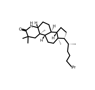 CC(C)CCC[C@@H](C)[C@H]1CC[C@H]2[C@@H]3CC[C@H]4NC(=O)C(C)(C)C[C@]4(C)[C@H]3CC[C@]12C